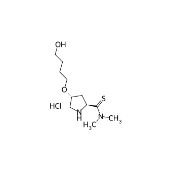 CN(C)C(=S)[C@@H]1C[C@@H](OCCCCO)CN1.Cl